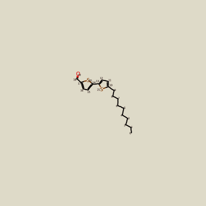 CCCCCCCCCCc1ccc(-c2ccc(C=O)s2)s1